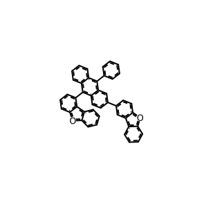 c1ccc(-c2c3ccccc3c(-c3cccc4oc5ccccc5c34)c3ccc(-c4ccc5oc6ccccc6c5c4)cc23)cc1